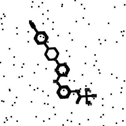 CC(C)(O)C(=O)Nc1cccc(Nc2ncnc(N3CCC(c4ccc(C#N)cc4)CC3)n2)c1